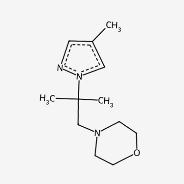 Cc1cnn(C(C)(C)CN2CCOCC2)c1